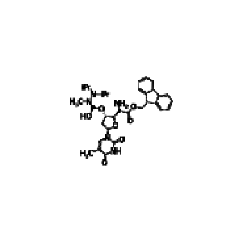 Cc1cn([C@H]2C[C@H](OP(O)N(C)N(C(C)C)C(C)C)[C@@H](C(N)C(=O)OCC3c4ccccc4-c4ccccc43)O2)c(=O)[nH]c1=O